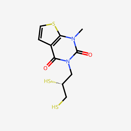 Cn1c(=O)n(C[C@@H](S)CS)c(=O)c2ccsc21